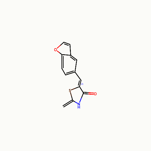 C=c1[nH]c(=O)/c(=C/c2ccc3occc3c2)s1